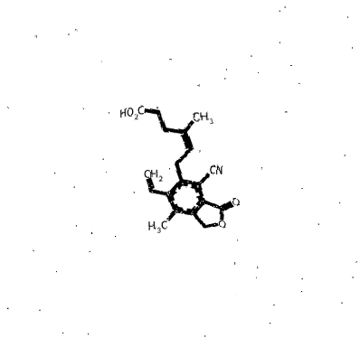 C=Cc1c(C)c2c(c(C#N)c1CC=C(C)CCC(=O)O)C(=O)OC2